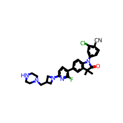 CC1(C)C(=O)N(c2ccc(C#N)c(Cl)c2)c2ccc(-c3ccc(N4CC(CN5CCNCC5)C4)nc3F)cc21